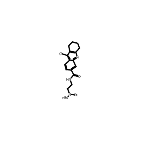 CCCCN(CC)CCNC(=O)c1ccc2c(Cl)c3c(nc2c1)CCCC3